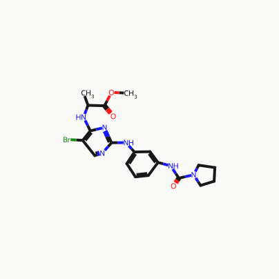 COC(=O)C(C)Nc1nc(Nc2cccc(NC(=O)N3CCCC3)c2)ncc1Br